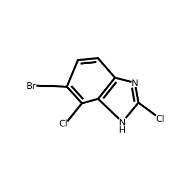 Clc1nc2ccc(Br)c(Cl)c2[nH]1